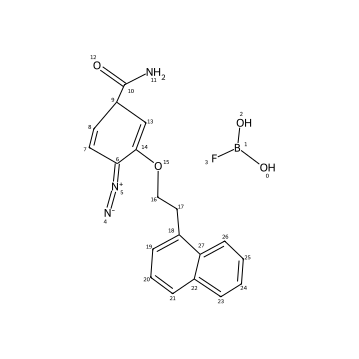 OB(O)F.[N-]=[N+]=C1C=CC(C(N)=O)C=C1OCCc1cccc2ccccc12